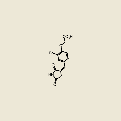 O=C(O)COc1ccc(C=C2SC(=O)NC2=O)cc1Br